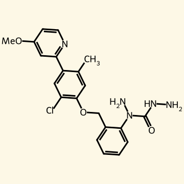 COc1ccnc(-c2cc(Cl)c(OCc3ccccc3N(N)C(=O)NN)cc2C)c1